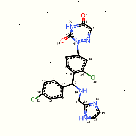 O=c1cnn(-c2ccc(C(NCc3ncc[nH]3)c3ccc(Cl)cc3)c(Cl)c2)c(=O)[nH]1